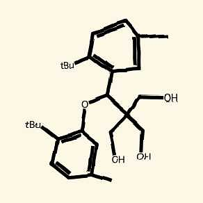 Cc1ccc(C(C)(C)C)c(OC(c2cc(C)ccc2C(C)(C)C)C(CO)(CO)CO)c1